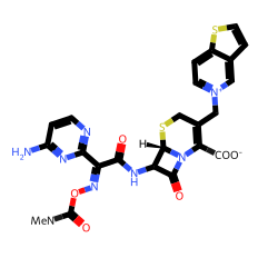 CNC(=O)ON=C(C(=O)NC1C(=O)N2C(C(=O)[O-])=C(C[n+]3ccc4sccc4c3)CS[C@@H]12)c1nccc(N)n1